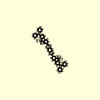 CCC1(CC)c2cc(-c3nc4cc5sc(-c6ccc7c(c6)C(CC)(CC)c6cc(N(c8ccccc8)c8ccccc8)ccc6-7)nc5cc4s3)ccc2-c2ccc(N(c3ccccc3)c3ccccc3)cc21